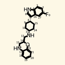 Fc1ccc2[nH]cc([C@H]3CC[C@@H](NCC4CNc5ccccc5O4)CC3)c2c1